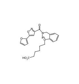 CC(C)N(Cc1ccccc1OCCCCCC(=O)O)C(=O)c1cc(-c2ccco2)on1